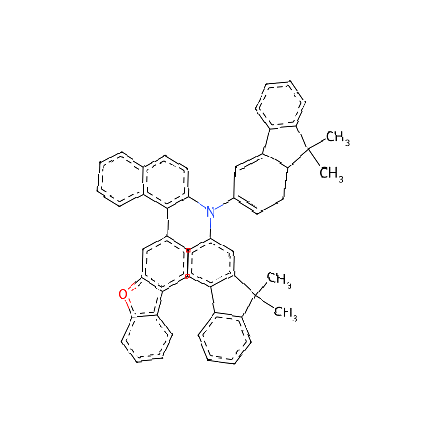 CC1(C)c2ccccc2-c2ccc(N(C3=CCC4C(=C3)c3ccccc3C4(C)C)c3ccc4ccccc4c3-c3ccc4c(c3)oc3ccccc34)cc21